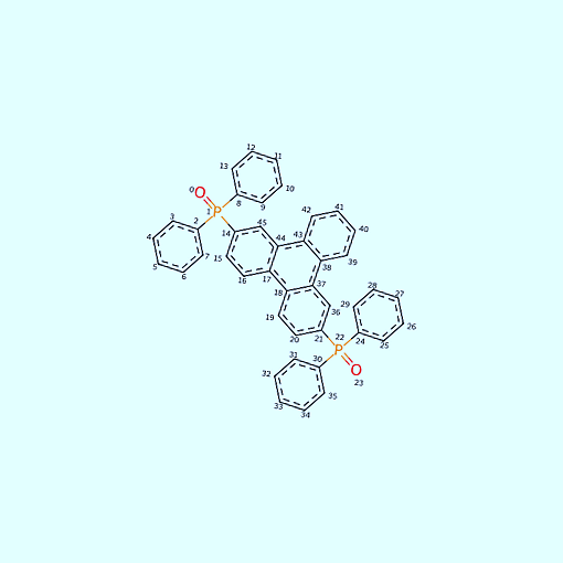 O=P(c1ccccc1)(c1ccccc1)c1ccc2c3ccc(P(=O)(c4ccccc4)c4ccccc4)cc3c3ccccc3c2c1